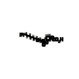 CC(C)CCCCCCCOCCOC(=O)OC1CCCC(OC(=O)O)C1